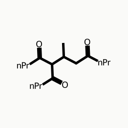 CCCC(=O)CC(C)C(C(=O)CCC)C(=O)CCC